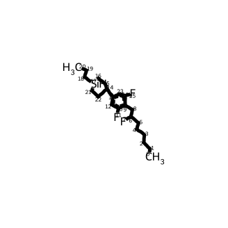 CCCCCCC(F)Cc1c(F)cc(C2CC[SiH](CCC)CC2)cc1F